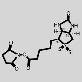 O=C1N[C@H]2[C@H](CS(=S)(=S)[C@H]2CCCCC(=O)ON2C(=O)CCC2=O)N1